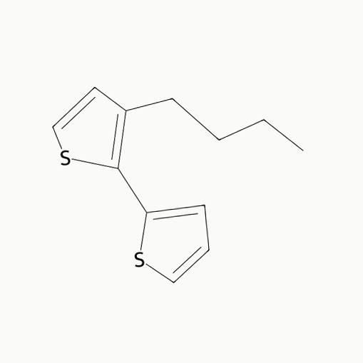 CCCCc1ccsc1-c1cccs1